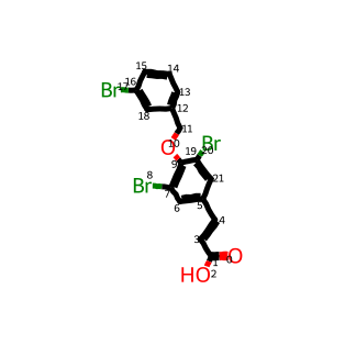 O=C(O)C=Cc1cc(Br)c(OCc2cccc(Br)c2)c(Br)c1